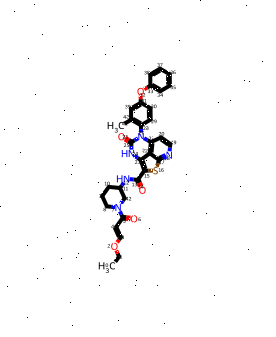 CCOC=CC(=O)N1CCCC(NC(=O)c2sc3nccc4c3c2NC(=O)N4c2ccc(Oc3ccccc3)cc2C)C1